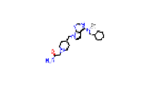 CCN(CC1CCCCC1)c1ncnc2c1ccn2CC1CCN(CC(N)=O)CC1